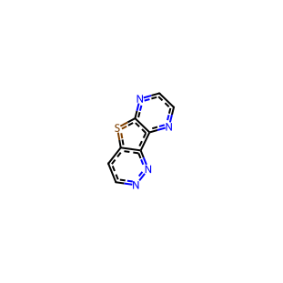 c1cc2sc3nccnc3c2nn1